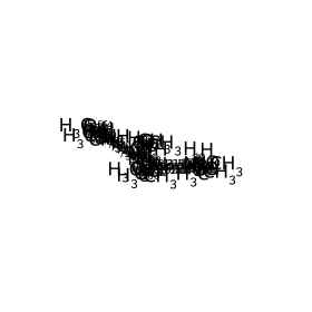 COC(=O)N[C@H](C(=O)N1CCC[C@H]1c1ncc(-c2ccc(-c3ccc(-c4cnc([C@H]5CCC(C6C[C@@H](c7ncc(-c8ccc(-c9ccc(-c%10cnc([C@@H]%11CCCC[C@H]%11C(=O)N(NC(=O)OC)C(C)C)[nH]%10)cc9)cc8)[nH]7)N(C(=O)[C@@H](NC(=O)OC)C(C)C)C6)C[C@@H]5C(=O)N(NC(=O)OC)C(C)C)[nH]4)cc3)cc2)[nH]1)C(C)C